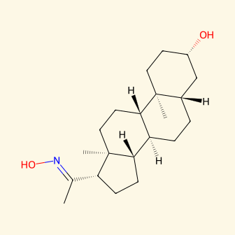 CC(=NO)[C@H]1CC[C@H]2[C@@H]3CC[C@H]4C[C@@H](O)CC[C@]4(C)[C@H]3CC[C@]12C